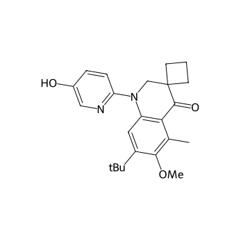 COc1c(C(C)(C)C)cc2c(c1C)C(=O)C1(CCC1)CN2c1ccc(O)cn1